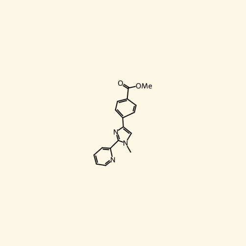 COC(=O)c1ccc(-c2cn(C)c(-c3ccccn3)n2)cc1